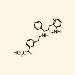 CC(C(=O)O)c1cccc(CCN[C@H](c2ccccc2)[C@H]2CNc3cccnc3C2)c1